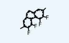 Cc1cc2ccc3cc(C)c(F)c(F)c3c2c(F)c1F